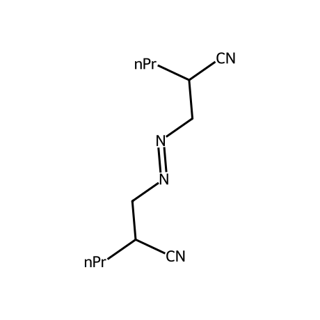 CCCC(C#N)CN=NCC(C#N)CCC